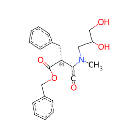 CN(CC(O)CO)C(=C=O)[C@@H](Cc1ccccc1)C(=O)OCc1ccccc1